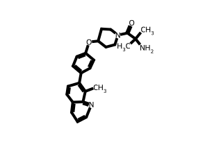 Cc1c(-c2ccc(OC3CCN(C(=O)C(C)(C)N)CC3)cc2)ccc2cccnc12